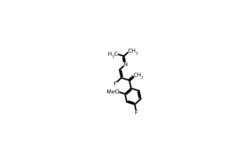 C=C(/C(F)=C\N=C(C)C)c1ccc(F)cc1OC